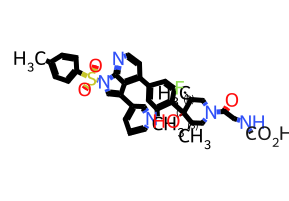 Cc1ccc(S(=O)(=O)n2cc(-c3cccnc3)c3c(-c4cc(C)c([C@@]5(O)[C@H](C)CN(C(=O)CNC(=O)O)C[C@@H]5C)c(F)c4)ccnc32)cc1